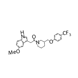 COc1ccc2[nH]cc(CC(=O)N3CCCC(COc4ccc(C(F)(F)F)cc4)C3)c2c1